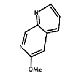 COc1cc2cccnc2cn1